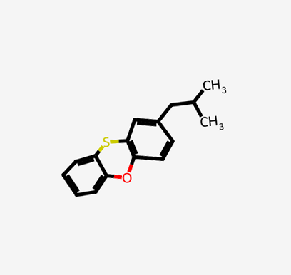 CC(C)Cc1ccc2c(c1)Sc1ccccc1O2